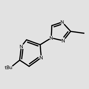 Cc1ncn(-c2cnc(C(C)(C)C)cn2)n1